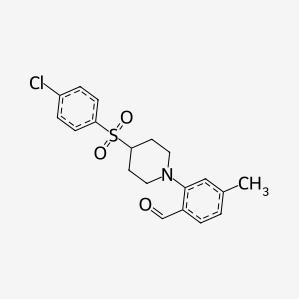 Cc1ccc(C=O)c(N2CCC(S(=O)(=O)c3ccc(Cl)cc3)CC2)c1